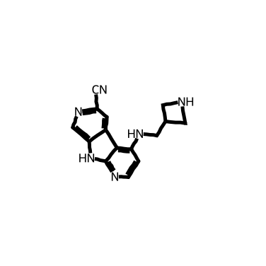 N#Cc1cc2c(cn1)[nH]c1nccc(NCC3CNC3)c12